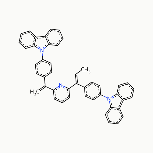 C=C(c1ccc(-n2c3ccccc3c3ccccc32)cc1)c1cccc(/C(=C/C)c2ccc(-n3c4ccccc4c4ccccc43)cc2)n1